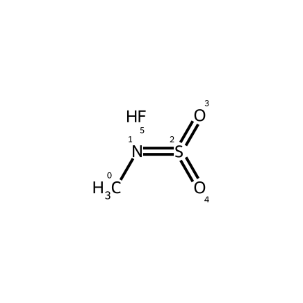 CN=S(=O)=O.F